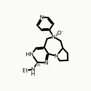 CCN[C@@H]1N=C2C(=CN1)C[N+]([O-])(c1ccncc1)CC1CCCN21